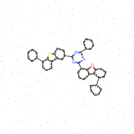 c1ccc(-c2nc(-c3ccc4sc5c(-c6ccccc6)cccc5c4c3)nc(-c3cccc4c3oc3cccc(-c5ccccc5)c34)n2)cc1